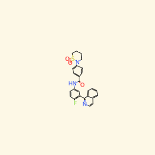 O=C(Nc1ccc(F)c(-c2nccc3ccccc23)c1)c1ccc(N2CCCCS2(=O)=O)cc1